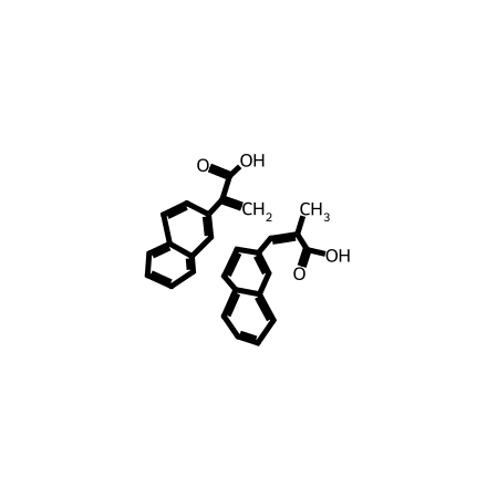 C=C(C(=O)O)c1ccc2ccccc2c1.CC(=Cc1ccc2ccccc2c1)C(=O)O